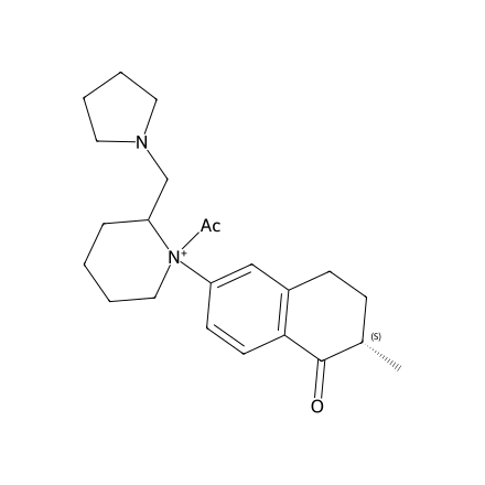 CC(=O)[N+]1(c2ccc3c(c2)CC[C@H](C)C3=O)CCCCC1CN1CCCC1